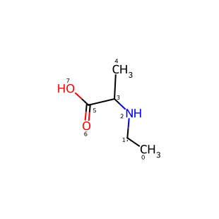 C[CH]NC(C)C(=O)O